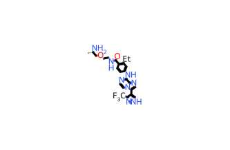 CCc1cc(Nc2nccn3c(-c4c[nH]nc4C(F)(F)F)cnc23)ccc1C(=O)NCCOC[C@H](C)N